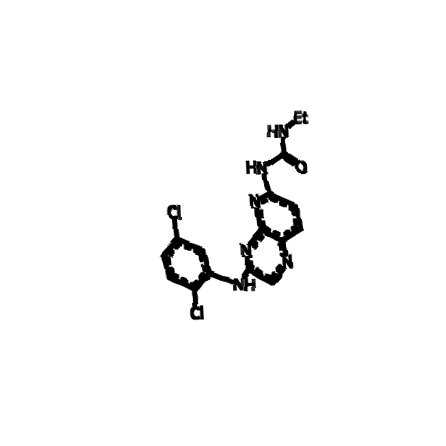 CCNC(=O)Nc1ccc2ncc(Nc3cc(Cl)ccc3Cl)nc2n1